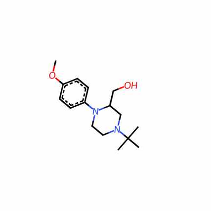 COc1ccc(N2CCN(C(C)(C)C)CC2CO)cc1